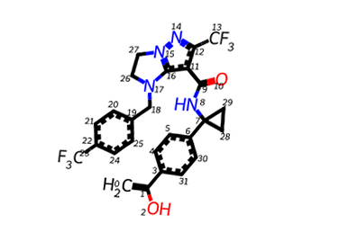 C=C(O)c1ccc(C2(NC(=O)c3c(C(F)(F)F)nn4c3N(Cc3ccc(C(F)(F)F)cc3)CC4)CC2)cc1